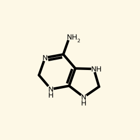 NC1=NCNC2=C1NCN2